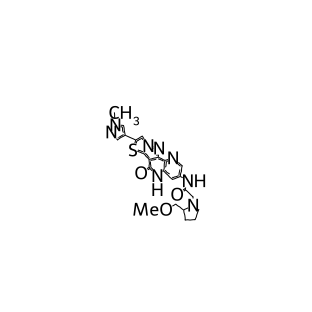 COCC1CCCN1CC(=O)Nc1cnc2c(c1)[nH]c(=O)c1c2nn2cc(-c3cnn(C)c3)sc12